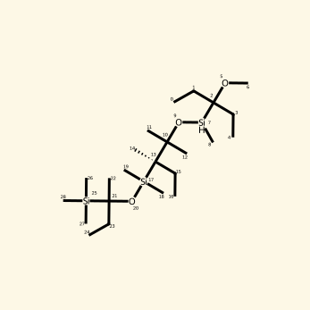 CCC(CC)(OC)[SiH](C)OC(C)(C)[C@@](C)(CC)[Si](C)(C)OC(C)(CC)[Si](C)(C)C